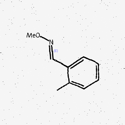 CO/N=C/c1c[c]ccc1C